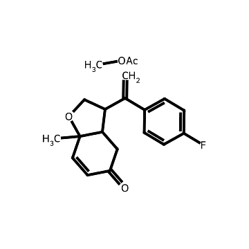 C=C(c1ccc(F)cc1)C1COC2(C)C=CC(=O)CC12.COC(C)=O